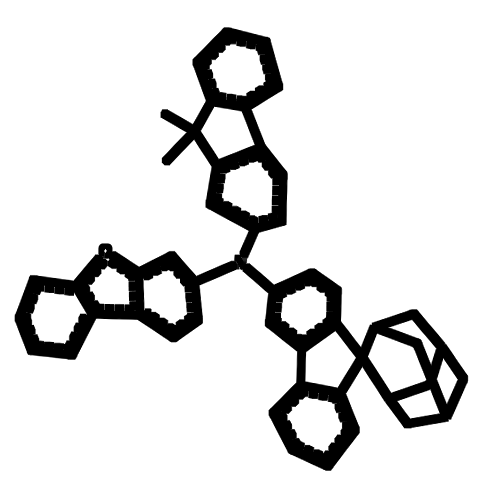 CC1(C)c2ccccc2-c2ccc(N(c3ccc4c(c3)-c3ccccc3C43C4CC5CC(C4)CC3C5)c3ccc4c(c3)oc3ccccc34)cc21